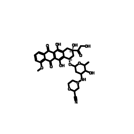 COc1cccc2c1C(=O)c1c(O)c3c(c(O)c1C2=O)C[C@@](O)(C(=O)CO)C[C@@H]3OC1CC(NN2CCOC(C#N)C2)C(O)C(C)O1